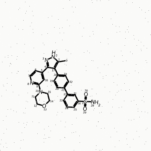 Cc1[nH]nc(-c2ccnc(N3CCOCC3)c2)c1-c1ccc(-c2cccc(S(N)(=O)=O)c2)cc1